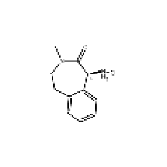 CN1CCc2ccccc2[C@H](N)C1=O.Cl